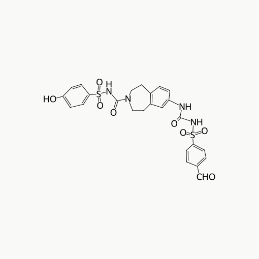 O=Cc1ccc(S(=O)(=O)NC(=O)Nc2ccc3c(c2)CCN(C(=O)NS(=O)(=O)c2ccc(O)cc2)CC3)cc1